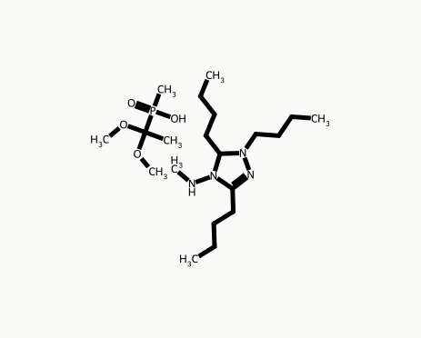 CCCCC1=NN(CCCC)C(CCCC)N1NC.COC(C)(OC)P(C)(=O)O